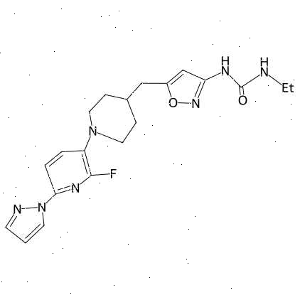 CCNC(=O)Nc1cc(CC2CCN(c3ccc(-n4cccn4)nc3F)CC2)on1